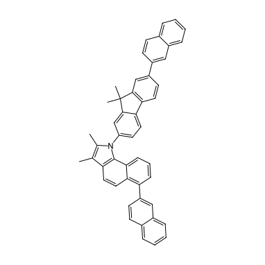 Cc1c(C)n(-c2ccc3c(c2)C(C)(C)c2cc(-c4ccc5ccccc5c4)ccc2-3)c2c1ccc1c(-c3ccc4ccccc4c3)cccc12